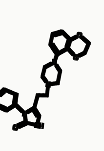 O=c1[nH]cc(CCN2CCN(c3cccc4c3OCCO4)CC2)n1-c1ccccc1